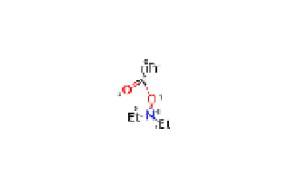 CCCC(=O)ON(CC)CC